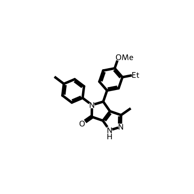 CCc1cc(C2c3c(C)n[nH]c3C(=O)N2c2ccc(C)cc2)ccc1OC